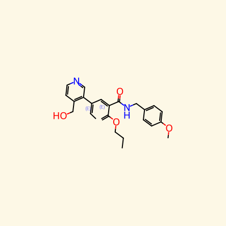 C=C(OCCC)/C(=C\C(=C/C)c1cnccc1CO)C(=O)NCc1ccc(OC)cc1